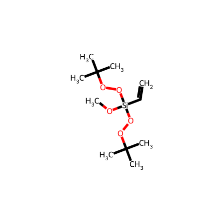 C=C[Si](OC)(OOC(C)(C)C)OOC(C)(C)C